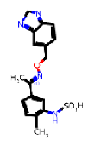 C/C(=N\OCc1ccc2c(c1)=NCN=2)c1ccc(C)c(NS(=O)(=O)O)c1